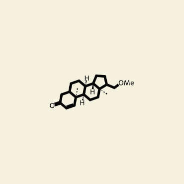 COCC1CC[C@H]2[C@@H]3CCC4CC(=O)C=C[C@]4(C)[C@@H]3CC[C@]12C